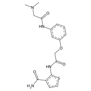 CN(C)CC(=O)Nc1cccc(OCC(=O)Nc2sccc2C(N)=O)c1